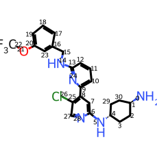 N[C@H]1CC[C@H](Nc2cc(-c3cccc(NCc4cccc(OC(F)(F)F)c4)n3)c(Cl)cn2)CC1